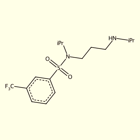 CC(C)NCCCN(C(C)C)S(=O)(=O)c1cccc(C(F)(F)F)c1